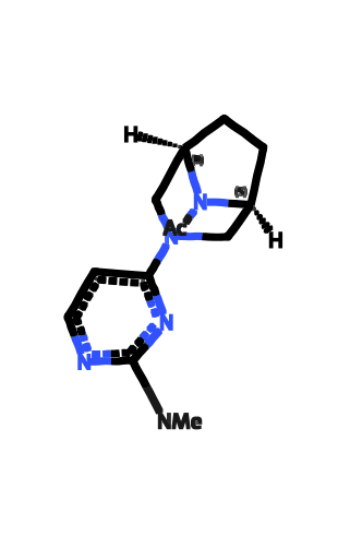 CNc1nccc(N2C[C@H]3CC[C@@H](C2)N3C(C)=O)n1